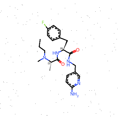 CCCN(C)[C@@H](C)C(=O)N[C@@H](Cc1ccc(F)cc1)C(=O)NCc1ccc(N)nc1